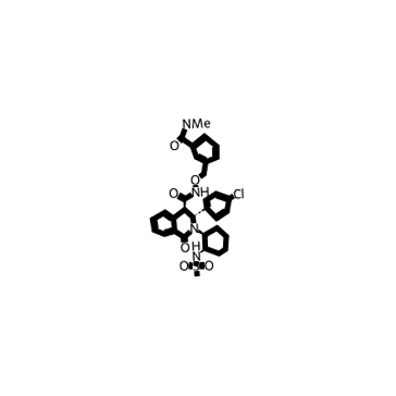 CNC(=O)c1cccc(CONC(=O)[C@@H]2c3ccccc3C(=O)N([C@H]3CCCC[C@@H]3NS(C)(=O)=O)[C@H]2c2ccc(Cl)cc2)c1